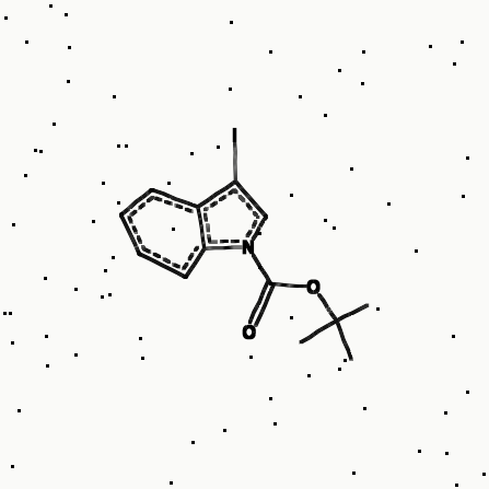 CC(C)(C)OC(=O)n1cc(I)c2ccccc21